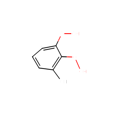 Cc1cccc(OO)c1OO